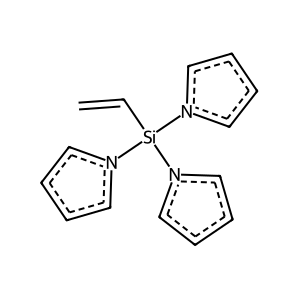 C=C[Si](n1cccc1)(n1cccc1)n1cccc1